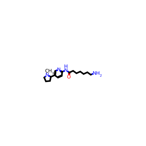 CN1CCCC1c1ccc(NC(=O)CCCCCCN)nc1